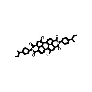 CCC(C)c1ccc(N2C(=O)c3ccc4c5c(Cl)cc6c7c(ccc(c8c(Cl)cc(c3c48)C2=O)c75)C(=O)N(c2ccc(C(C)CC)cc2)C6=O)cc1